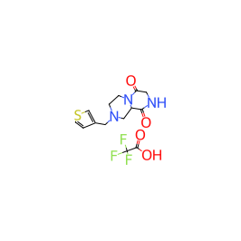 O=C(O)C(F)(F)F.O=C1NCC(=O)N2CCN(Cc3ccsc3)CC12